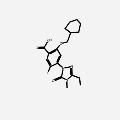 CCc1nn(-c2cc(OCC3CCCCC3)c(C(=O)O)cc2F)c(=O)n1C